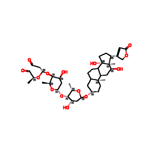 C[C@@H]1O[C@@H](O[C@H]2CC[C@@]3(C)C(CCC4C3C[C@H](O)[C@]3(C)[C@@H](C5=CC(=O)OC5)CC[C@]43O)C2)C[C@H](O)[C@@H]1O[C@H]1C[C@H](O)[C@H](O[C@@H](CC=O)O[C@@H](C)C=O)[C@H](C)O1